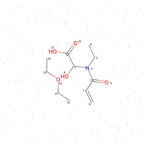 C=CC(=O)N(CC)C(O)C(=O)O.CCOCC